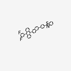 Fc1cc(F)cc(-c2c3ccccc3c(-c3ccc4cc(-c5ccc(-c6nc7ccccc7s6)cc5)ccc4c3)c3ccccc23)c1